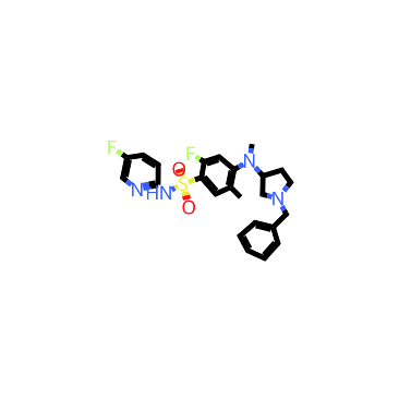 Cc1cc(S(=O)(=O)Nc2ccc(F)cn2)c(F)cc1N(C)C1CCN(Cc2ccccc2)C1